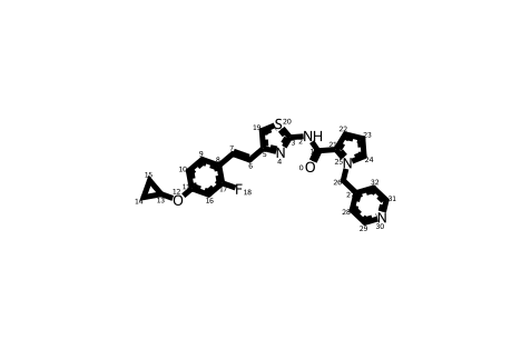 O=C(Nc1nc(/C=C/c2ccc(OC3CC3)cc2F)cs1)c1cccn1Cc1ccncc1